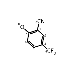 N#Cc1cc(C(F)(F)F)ccc1[O]